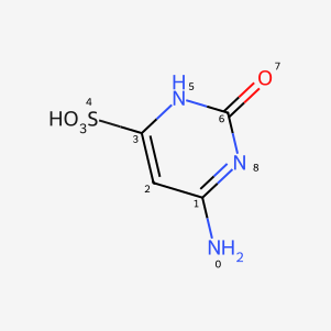 Nc1cc(S(=O)(=O)O)[nH]c(=O)n1